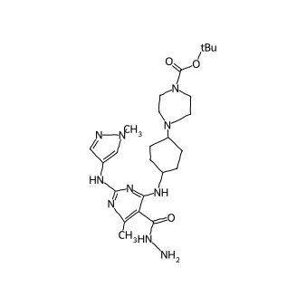 Cc1nc(Nc2cnn(C)c2)nc(NC2CCC(N3CCN(C(=O)OC(C)(C)C)CC3)CC2)c1C(=O)NN